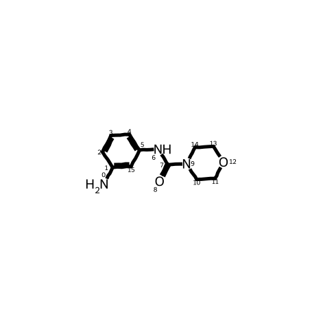 Nc1cccc(NC(=O)N2CCOCC2)c1